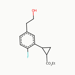 CCOC(=O)C1CC1c1cc(CCO)ccc1F